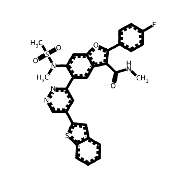 CNC(=O)c1c(-c2ccc(F)cc2)oc2cc(N(C)S(C)(=O)=O)c(-c3cc(-c4cc5ccccc5s4)cnn3)cc12